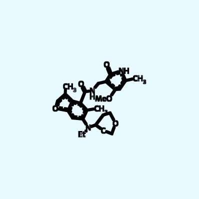 CCN(c1cc2occ(C)c2c(C(=O)NCc2c(OC)cc(C)[nH]c2=O)c1C)C1CCOCC1